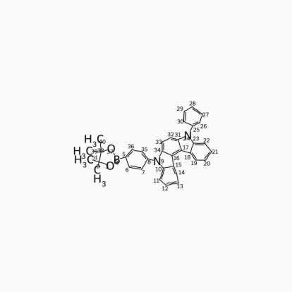 CC1(C)OB(c2ccc(-n3c4ccccc4c4c5c6ccccc6n(-c6ccccc6)c5ccc43)cc2)OC1(C)C